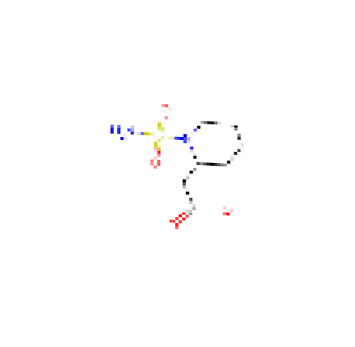 NS(=O)(=O)N1CCCCC1CC(=O)O